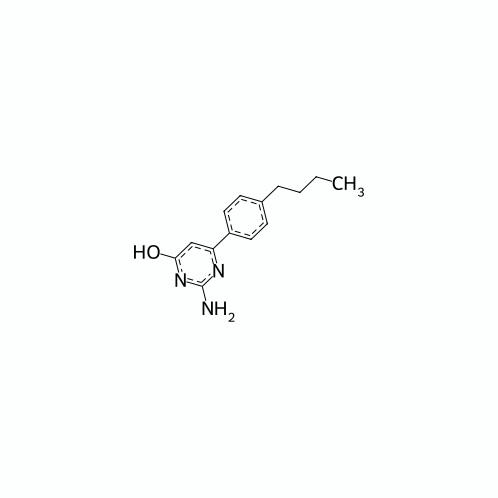 CCCCc1ccc(-c2cc(O)nc(N)n2)cc1